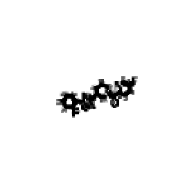 O=C(c1ccc(F)cn1)N1CCCC(c2noc(-c3ccccc3F)n2)C1